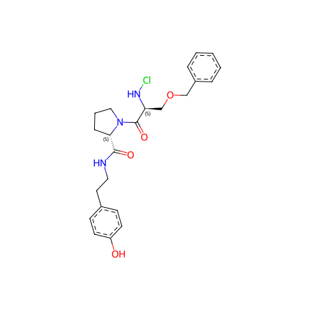 O=C(NCCc1ccc(O)cc1)[C@@H]1CCCN1C(=O)[C@H](COCc1ccccc1)NCl